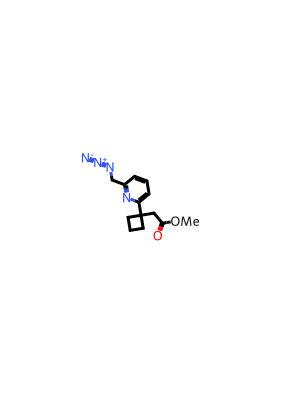 COC(=O)CC1(c2cccc(CN=[N+]=[N-])n2)CCC1